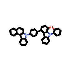 c1ccc2c(c1)Oc1ccc(-c3ccc(-n4c5ccccc5c5c6ccccc6ccc54)cc3)c3c4ccccc4n-2c13